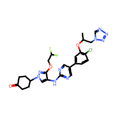 CC(Cn1cnnn1)Oc1cc(-c2cnc(Nc3cn(C4CCC(=O)CC4)nc3OCC(F)F)nc2)ccc1Cl